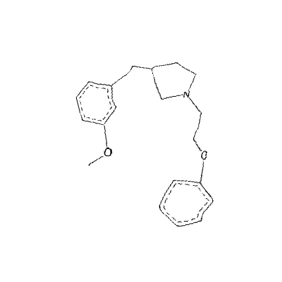 COc1cccc(CC2CCN(CCOc3ccccc3)C2)c1